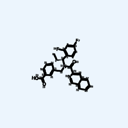 CC[C@H](c1ccc(F)cc1F)N(Cc1cccc(C(=O)O)c1)C(=O)c1cc2ccccc2cn1